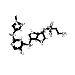 Cn1cc(Nc2ncc(Cl)c(NC3COC4C(NS(=O)(=O)CCO)COC34)n2)cn1